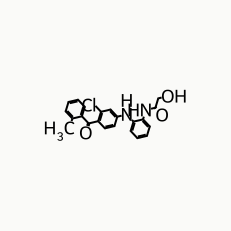 Cc1ccccc1C(=O)c1ccc(Nc2ccccc2NC(=O)CO)cc1Cl